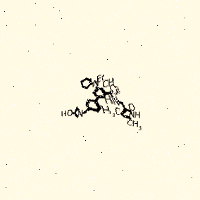 CCN(c1cc(-c2ccc(CN3CC(O)C3)cc2)cc(C(=O)NCc2c(C)cc(C)[nH]c2=O)c1C)C1CCCCC1